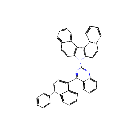 C1=CC2C=Cc3c(c4c5ccccc5ccc4n3-c3nc(-c4ccc(-c5ccccc5)c5ccccc45)c4ccccc4n3)C2C=C1